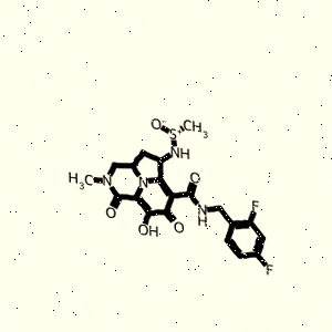 CN1CC2CC(N[S+](C)[O-])c3c(C(=O)NCc4ccc(F)cc4F)c(=O)c(O)c(n32)C1=O